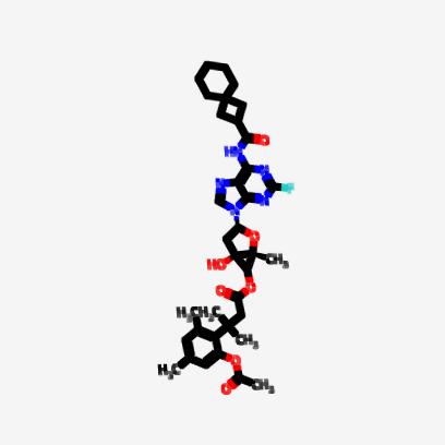 CC(=O)Oc1cc(C)cc(C)c1C(C)(C)CC(=O)OC1[C@]2(O)C[C@H](n3cnc4c(NC(=O)C5CC6(CCCCC6)C5)nc(F)nc43)O[C@]12C